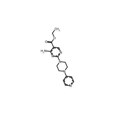 CCOC(=O)c1cnc(N2CCN(c3ccncc3)CC2)nc1N